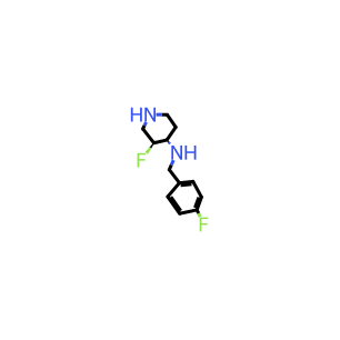 Fc1ccc(CN[C@H]2CCNC[C@@H]2F)cc1